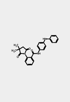 CC1(C)CC(=O)N(c2ccccc2C(=O)Nc2ccc(Nc3ccccc3)cc2)C1=O